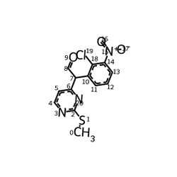 CSc1nccc(C(C=O)c2cccc([N+](=O)[O-])c2Cl)n1